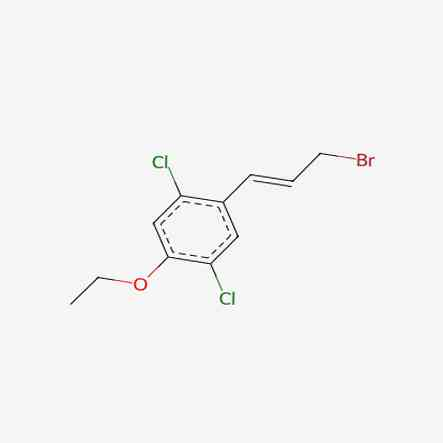 CCOc1cc(Cl)c(C=CCBr)cc1Cl